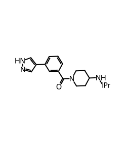 CC(C)NC1CCN(C(=O)c2cccc(-c3cn[nH]c3)c2)CC1